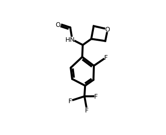 O=CNC(c1ccc(C(F)(F)F)cc1F)C1COC1